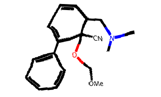 COCOC1(C#N)C(c2ccccc2)=CC=CC1CN(C)C